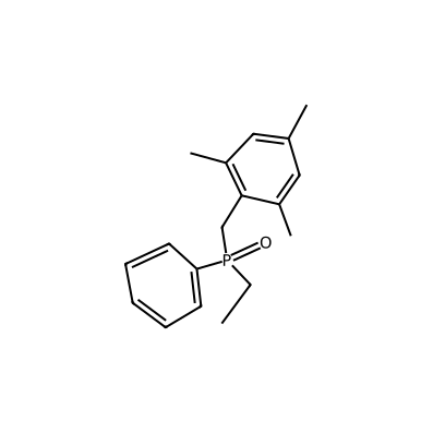 CCP(=O)(Cc1c(C)cc(C)cc1C)c1ccccc1